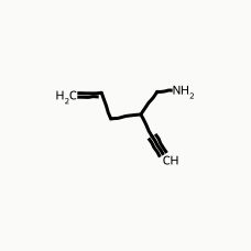 C#CC(CN)CC=C